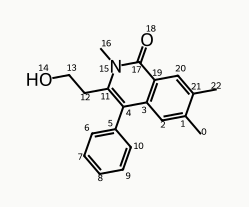 Cc1cc2c(-c3ccccc3)c(CCO)n(C)c(=O)c2cc1C